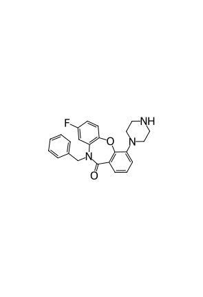 O=C1c2cccc(N3CCNCC3)c2Oc2ccc(F)cc2N1Cc1ccccc1